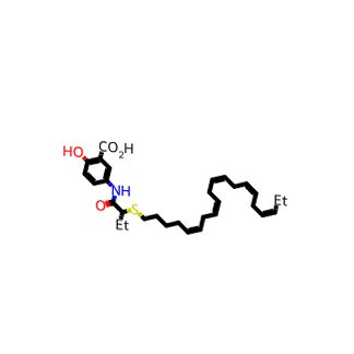 CC/C=C\C/C=C\C/C=C\C/C=C\C/C=C\CCCCSC(CC)C(=O)Nc1ccc(O)c(C(=O)O)c1